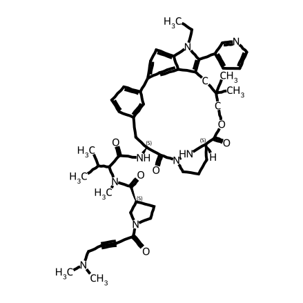 CCn1c(-c2cccnc2)c2c3cc(ccc31)-c1cccc(c1)C[C@H](NC(=O)C(C(C)C)N(C)C(=O)[C@H]1CCN(C(=O)C#CCN(C)C)C1)C(=O)N1CCC[C@H](N1)C(=O)OCC(C)(C)C2